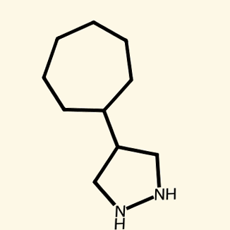 C1CCCC(C2CNNC2)CC1